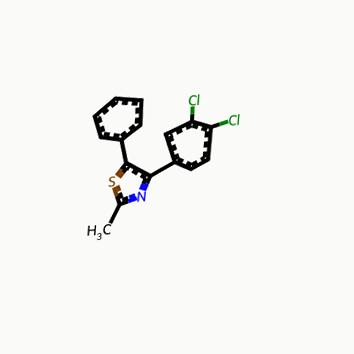 Cc1nc(-c2ccc(Cl)c(Cl)c2)c(-c2ccccc2)s1